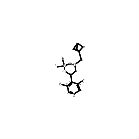 CC[Si](CC)(CC)OC(CNCC12CC(C1)C2)c1c(Cl)cncc1Cl